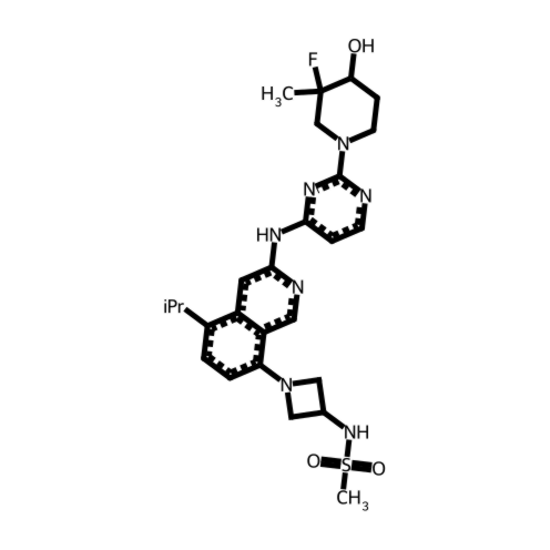 CC(C)c1ccc(N2CC(NS(C)(=O)=O)C2)c2cnc(Nc3ccnc(N4CCC(O)C(C)(F)C4)n3)cc12